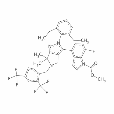 CCc1cccc(CC)c1-n1nc2c(c1-c1ccc(F)c3c1ccn3C(=O)OC)CN(Cc1ccc(C(F)(F)F)cc1C(F)(F)F)C2(C)C